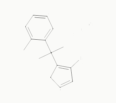 Cc1ccccc1C(C)(C)C1=[C]([Ti+3])C=CC1.[Cl-].[Cl-].[Cl-]